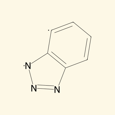 [c]1cccc2c1[N]N=N2